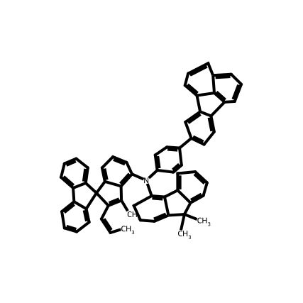 C/C=C\C1=C(C)c2c(N(C3=C4C(=CCC3)C(C)(C)c3ccccc34)c3ccc(-c4ccc5c(c4)-c4cccc6cccc-5c46)cc3)cccc2C12c1ccccc1-c1ccccc12